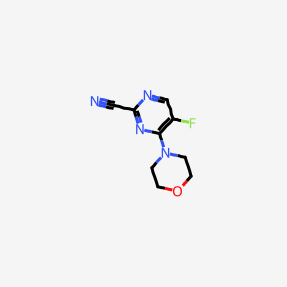 N#Cc1ncc(F)c(N2CCOCC2)n1